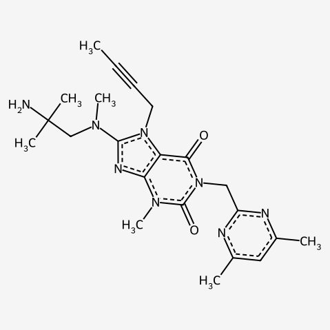 CC#CCn1c(N(C)CC(C)(C)N)nc2c1c(=O)n(Cc1nc(C)cc(C)n1)c(=O)n2C